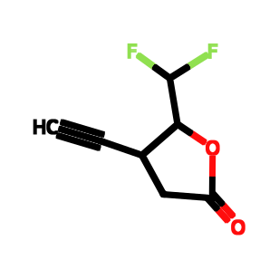 C#CC1CC(=O)OC1C(F)F